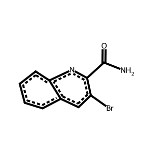 NC(=O)c1nc2ccccc2cc1Br